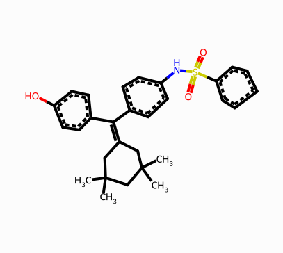 CC1(C)CC(=C(c2ccc(O)cc2)c2ccc(NS(=O)(=O)c3ccccc3)cc2)CC(C)(C)C1